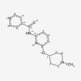 CN1CCC(Oc2cccc(NC(=O)c3ccncc3)n2)CC1